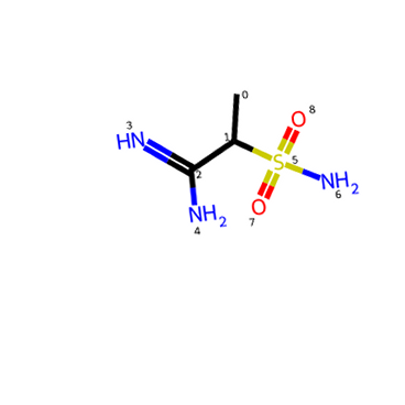 CC(C(=N)N)S(N)(=O)=O